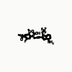 CNC(=O)c1cc(OC)c(N(CC#Cc2cc3c(N)cccc3n2CC(F)(F)F)C(=O)O)cc1F